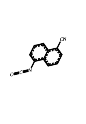 N#Cc1cccc2c(N=C=O)cccc12